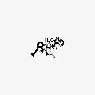 Cc1nn2cccnc2c1C(=O)NC(C)c1nc2cccc(C#CC3CC3)c2c(=O)n1C1CC1